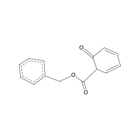 O=C1C=CC=CC1C(=O)OCc1ccccc1